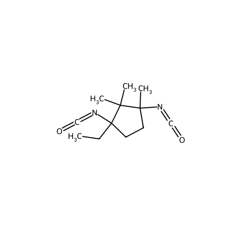 CCC1(N=C=O)CCC(C)(N=C=O)C1(C)C